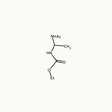 CCOC(=O)NC(C)NC(C)=O